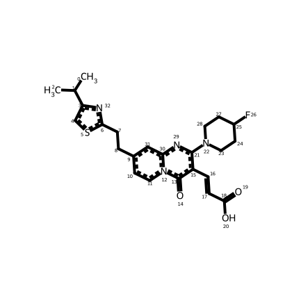 CC(C)c1csc(CCc2ccn3c(=O)c(C=CC(=O)O)c(N4CCC(F)CC4)nc3c2)n1